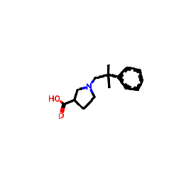 CC(C)(CN1CCC(C(=O)O)C1)c1ccccc1